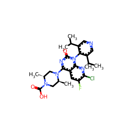 CC(C)c1cncc(C(C)C)c1-n1c(=O)nc(N2C[C@@H](C)N(C(=O)O)C[C@@H]2C)c2cc(F)c(Cl)nc21